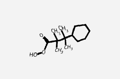 CC(C)(C(=O)OO)C(C)(C)C1CCCCC1